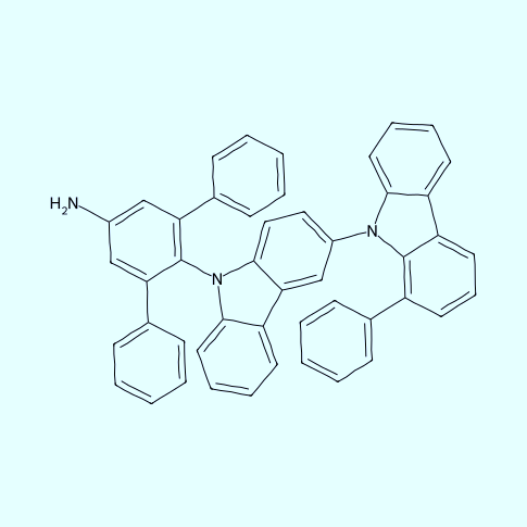 Nc1cc(-c2ccccc2)c(-n2c3ccccc3c3cc(-n4c5ccccc5c5cccc(-c6ccccc6)c54)ccc32)c(-c2ccccc2)c1